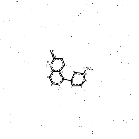 O=c1ccc2c(-c3cccc([N+](=O)[O-])c3)nccc2[nH]1